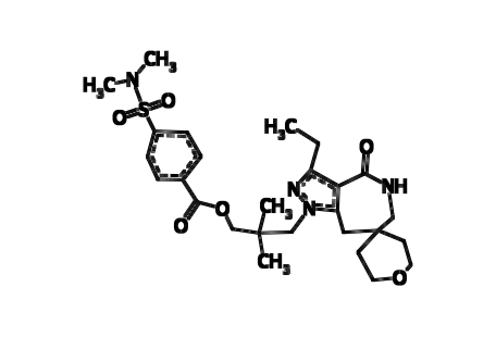 CCc1nn(CC(C)(C)COC(=O)c2ccc(S(=O)(=O)N(C)C)cc2)c2c1C(=O)NCC1(CCOCC1)C2